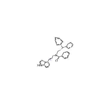 O=C(c1ccccc1)N(C/C=C/c1cccc2[nH]ccc12)CCC(c1ccccc1)c1ccccc1